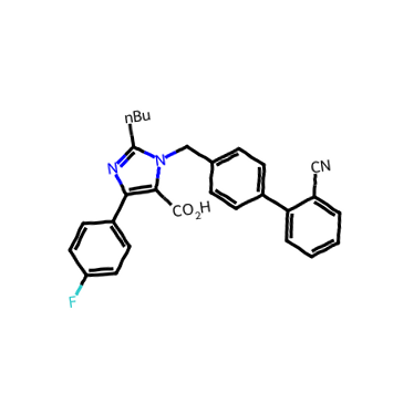 CCCCc1nc(-c2ccc(F)cc2)c(C(=O)O)n1Cc1ccc(-c2ccccc2C#N)cc1